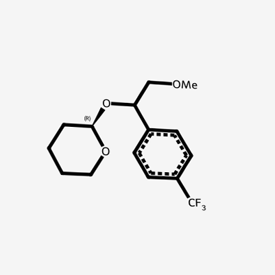 COCC(O[C@@H]1CCCCO1)c1ccc(C(F)(F)F)cc1